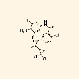 C=C(Nc1cc(F)c(N)c(F)c1)c1cc(NC(=C)C2CC2(Cl)Cl)ccc1Cl